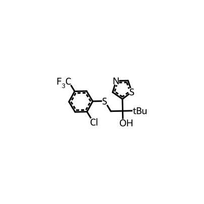 CC(C)(C)C(O)(CSc1cc(C(F)(F)F)ccc1Cl)c1cncs1